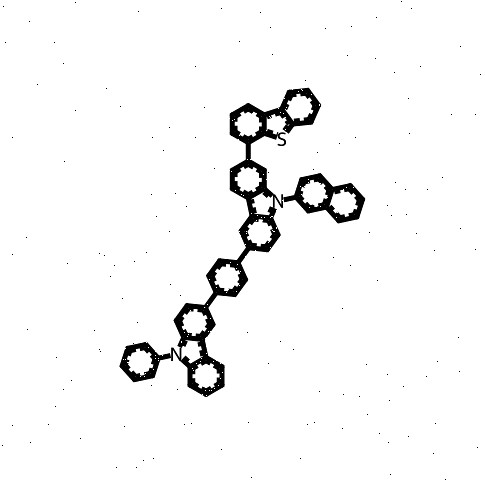 c1ccc(-n2c3ccccc3c3cc(-c4ccc(-c5ccc6c(c5)c5ccc(-c7cccc8c7sc7ccccc78)cc5n6-c5ccc6ccccc6c5)cc4)ccc32)cc1